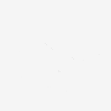 C[C@@H]1CCC(=O)CC[C@](OCc2ccccc2)(C(F)(F)F)c2nnc(o2)-c2nc(c(C(F)(F)F)cc2NC(=O)OC(C)(C)C)O1